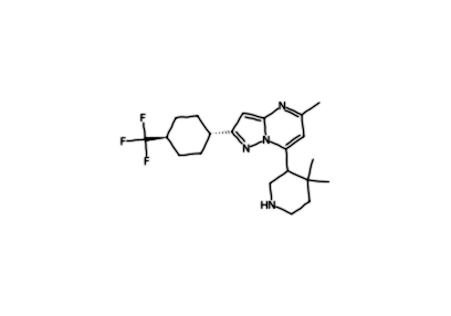 Cc1cc(C2CNCCC2(C)C)n2nc([C@H]3CC[C@H](C(F)(F)F)CC3)cc2n1